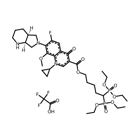 CCOP(=O)(OCC)C(CCCCOC(=O)c1cn(C2CC2)c2c(OC)c(N3C[C@@H]4CCCN[C@@H]4C3)c(F)cc2c1=O)P(=O)(OCC)OCC.O=C(O)C(F)(F)F